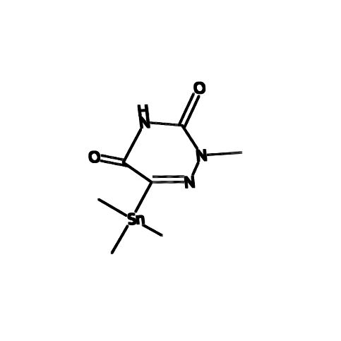 Cn1n[c]([Sn]([CH3])([CH3])[CH3])c(=O)[nH]c1=O